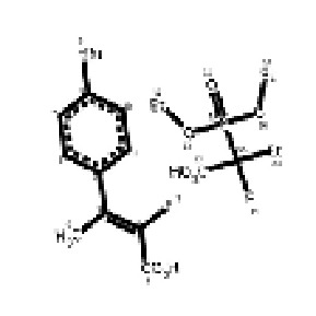 CC(=C(F)C(=O)O)c1ccc(C(C)(C)C)cc1.CCOP(=O)(OCC)C(F)(CC)C(=O)O